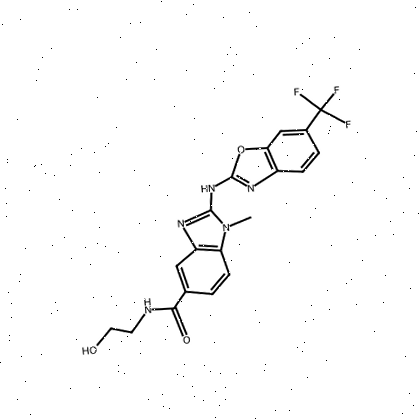 Cn1c(Nc2nc3ccc(C(F)(F)F)cc3o2)nc2cc(C(=O)NCCO)ccc21